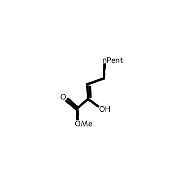 CCCCCCC=C(O)C(=O)OC